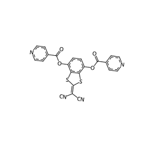 [C-]#[N+]C(C#N)=C1Sc2c(OC(=O)c3ccncc3)ccc(OC(=O)c3ccncc3)c2S1